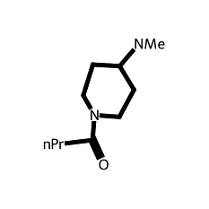 CCCC(=O)N1CCC(NC)CC1